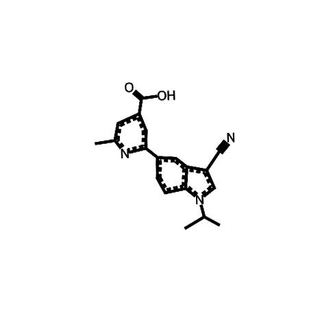 Cc1cc(C(=O)O)cc(-c2ccc3c(c2)c(C#N)cn3C(C)C)n1